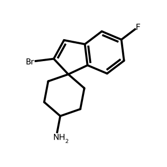 NC1CCC2(CC1)C(Br)=Cc1cc(F)ccc12